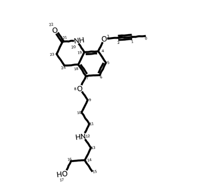 CC#COc1ccc(OCCCNCC(C)CO)c2c1NC(=O)CC2